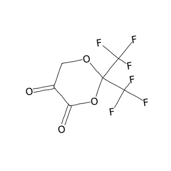 O=C1COC(C(F)(F)F)(C(F)(F)F)OC1=O